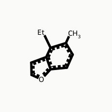 CCc1c(C)ccc2occc12